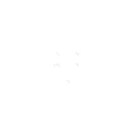 NNC(N)NN